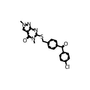 Cn1cc2c(=O)n(C)c(SCc3ccc(C(=O)c4ccc(Cl)cc4)cc3)nc2n1